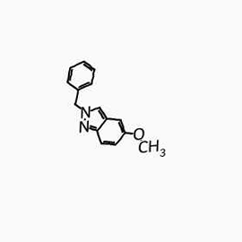 COc1ccc2nn(Cc3ccccc3)cc2c1